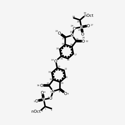 CCCCCCCCC(C)S(=O)(=O)ON1C(=O)c2ccc(Oc3ccc4c(c3)C(=O)N(OS(=O)(=O)C(C)CCCCCCCC)C4=O)cc2C1=O